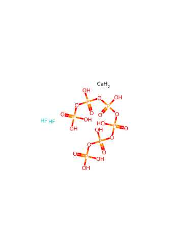 F.F.O=P(O)(O)OP(=O)(O)OP(=O)(O)OP(=O)(O)OP(=O)(O)OP(=O)(O)O.[CaH2]